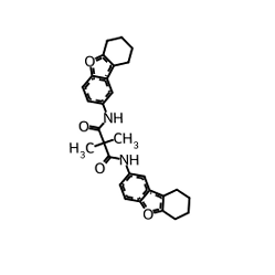 CC(C)(C(=O)Nc1ccc2oc3c(c2c1)CCCC3)C(=O)Nc1ccc2oc3c(c2c1)CCCC3